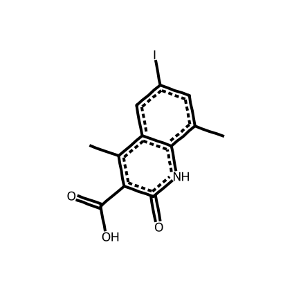 Cc1c(C(=O)O)c(=O)[nH]c2c(C)cc(I)cc12